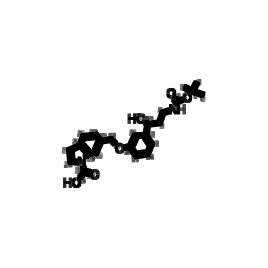 CC(C)(C)OC(=O)NCCC(O)c1cccc(OCc2ccc3ccn(C(=O)O)c3c2)c1